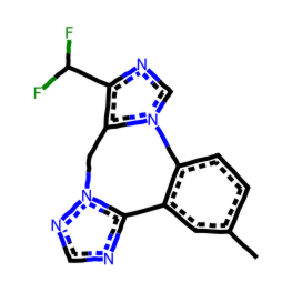 Cc1ccc2c(c1)-c1ncnn1Cc1c(C(F)F)ncn1-2